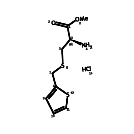 COC(=O)[C@@H](N)CSCc1cccs1.Cl